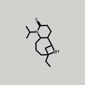 CCC12BC(C1)C1CCC(=S)N(C(C)C)C1CCC2